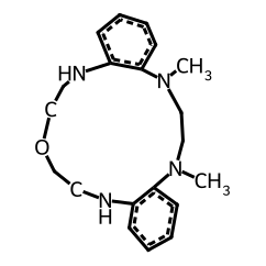 CN1CCN(C)c2ccccc2NCCOCCNc2ccccc21